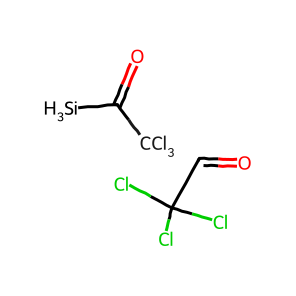 O=C([SiH3])C(Cl)(Cl)Cl.O=CC(Cl)(Cl)Cl